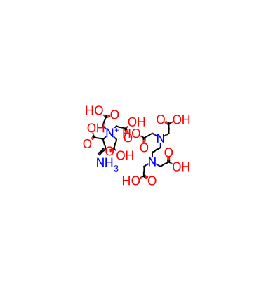 C=CC(C(=O)O)[N+](CC(=O)O)(CC(=O)O)CC(=O)O.N.O=C(O)CN(CCN(CC(=O)O)CC(=O)O)CC(=O)O